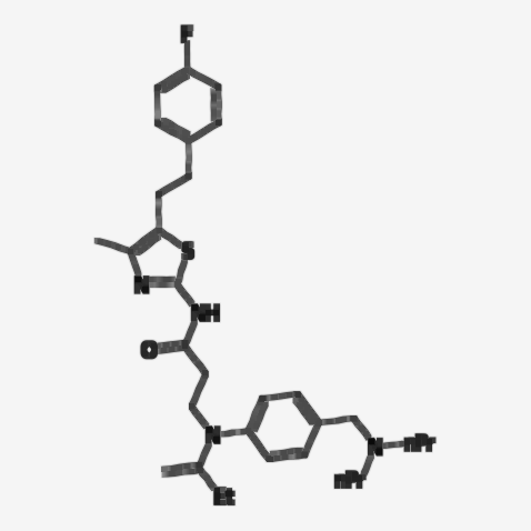 C=C(CC)N(CCC(=O)Nc1nc(C)c(CCc2ccc(F)cc2)s1)c1ccc(CN(CCC)CCC)cc1